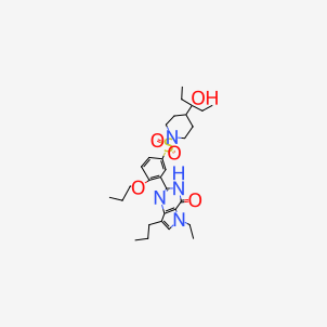 CCCOc1ccc(S(=O)(=O)N2CCC(C(O)(CC)CC)CC2)cc1-c1nc2c(CCC)cn(CC)c2c(=O)[nH]1